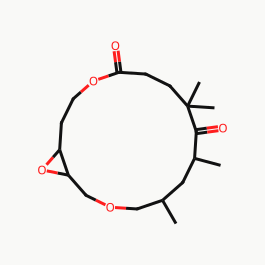 CC1COCC2OC2CCOC(=O)CCC(C)(C)C(=O)C(C)C1